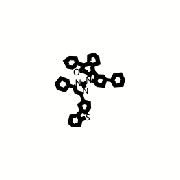 c1ccc(-c2ccc3c(c2)c2c4ccccc4c4c5ccccc5oc4c2n3-c2nc(-c3ccccc3)cc(-c3ccc4sc5ccccc5c4c3)n2)cc1